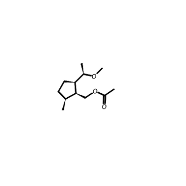 CO[C@H](C)[C@@H]1CC[C@H](C)[C@@H]1COC(C)=O